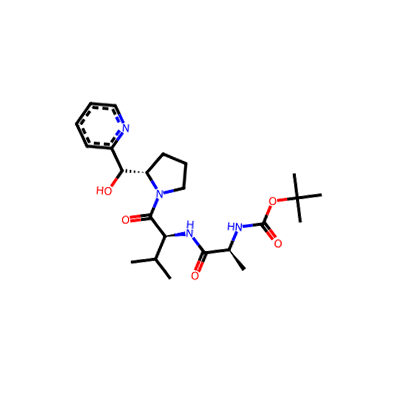 CC(C)[C@H](NC(=O)[C@H](C)NC(=O)OC(C)(C)C)C(=O)N1CCC[C@H]1C(O)c1ccccn1